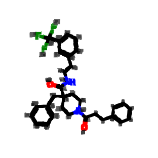 O=C(CCc1ccccc1)N1CCC(Cc2ccccc2)(C(=O)NCCc2cccc(C(F)(F)F)c2)CC1